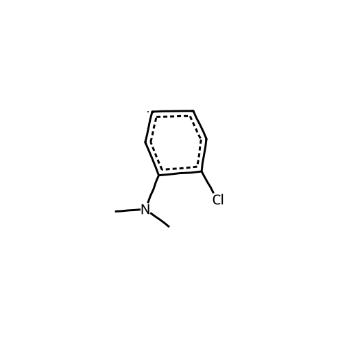 CN(C)c1c[c]ccc1Cl